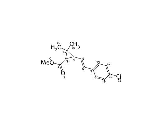 COC(=O)C1C(C=Cc2ccc(Cl)cc2)C1(C)C